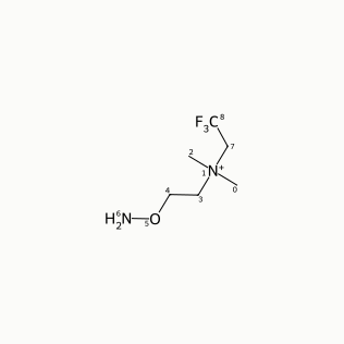 C[N+](C)(CCON)CC(F)(F)F